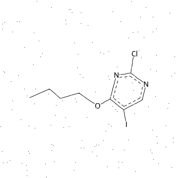 CCCCOc1nc(Cl)ncc1I